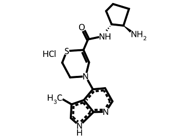 Cc1c[nH]c2nccc(N3C=C(C(=O)N[C@@H]4CCC[C@H]4N)SCC3)c12.Cl